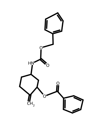 C=C1CCC(NC(=O)OCc2ccccc2)CC1OC(=O)c1ccccc1